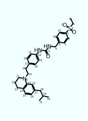 CCS(=O)(=O)c1ccc(CNC(=O)Nc2ccc(CCN3CCCc4ccc(CC(C)C)cc43)cc2)cc1